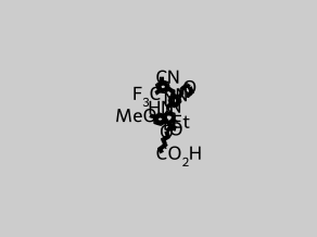 CC[C@@H]1C[C@H](Nc2ncc(N3CCOCC3)c(Cc3cc(C#N)cc(C(F)(F)F)c3)n2)c2cc(OC)ccc2N1C(=O)OCCCCC(=O)O